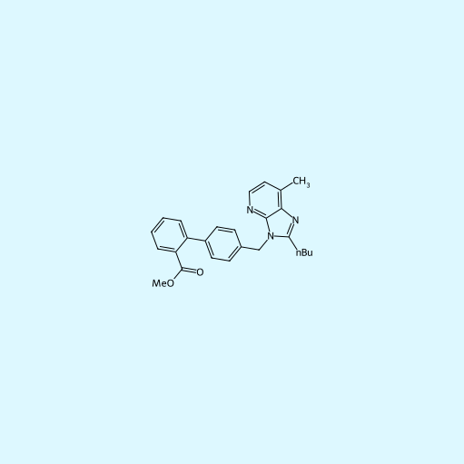 CCCCc1nc2c(C)ccnc2n1Cc1ccc(-c2ccccc2C(=O)OC)cc1